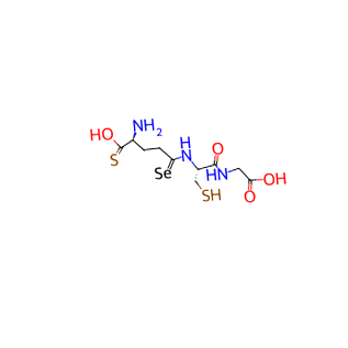 N[C@@H](CCC(=[Se])N[C@@H](CS)C(=O)NCC(=O)O)C(O)=S